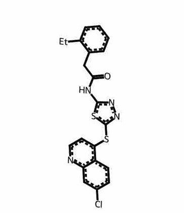 CCc1ccccc1CC(=O)Nc1nnc(Sc2ccnc3cc(Cl)ccc23)s1